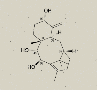 C=C1[C@H]2C[C@@H]3CCC(C)=C([C@@H](O)[C@H](O)[C@]2(C)CC[C@@H]1O)C3(C)C